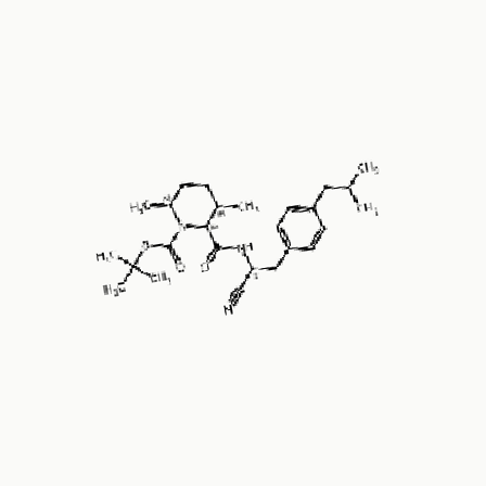 CC(C)Cc1ccc(C[C@@H](C#N)NC(=O)[C@@H]2[C@H](C)CC[C@H](C)N2C(=O)OC(C)(C)C)cc1